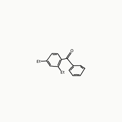 CCc1ccc(C(=O)c2ccccc2)c(CC)c1